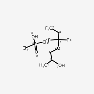 CC(O)COC(F)(F)CC(F)(F)F.O=P(O)(Cl)Cl